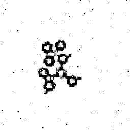 Cc1cccc(-c2nc(-c3cc(C)cc([Si](c4ccccc4)(c4ccccc4)c4ccccc4)c3)nc(-n3c4ccccc4c4cc(C)ccc43)n2)c1